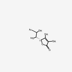 CC(=O)C(O)C(O)[C@H]1OC(=O)C(O)=C1O